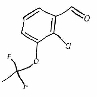 CC(F)(F)Oc1cccc(C=O)c1Cl